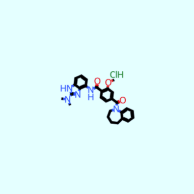 COc1cc(C(=O)N2CCCCc3ccccc32)ccc1C(=O)Nc1cccc2[nH]c(N(C)C)nc12.Cl